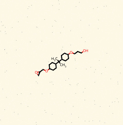 CC(C)(C1CCC(OCCCO)CC1)C1CCC(OCC2CO2)CC1